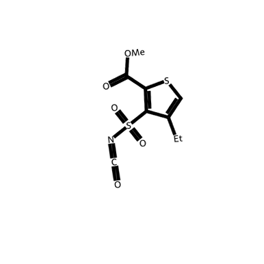 CCc1csc(C(=O)OC)c1S(=O)(=O)N=C=O